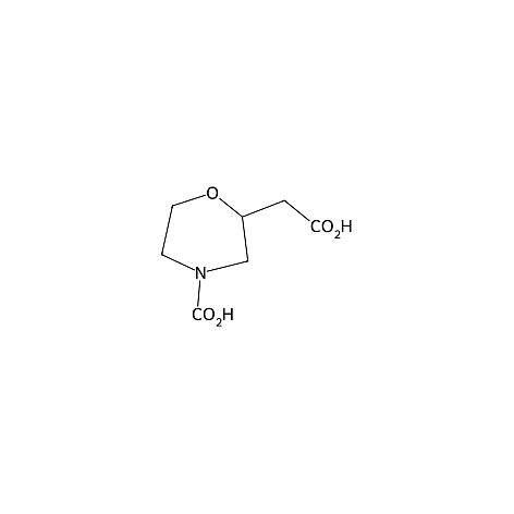 O=C(O)CC1CN(C(=O)O)CCO1